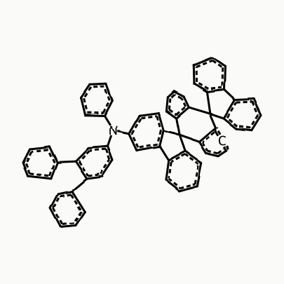 c1ccc(-c2ccc(N(c3ccccc3)c3ccc4c(c3)-c3ccccc3C43c4ccccc4C4(c5ccccc5-c5ccccc54)c4ccccc43)cc2-c2ccccc2)cc1